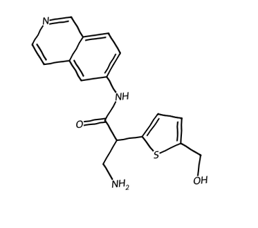 NCC(C(=O)Nc1ccc2cnccc2c1)c1ccc(CO)s1